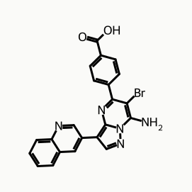 Nc1c(Br)c(-c2ccc(C(=O)O)cc2)nc2c(-c3cnc4ccccc4c3)cnn12